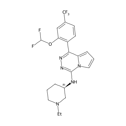 CCN1CCC[C@@H](Nc2nnc(-c3ccc(C(F)(F)F)cc3OC(F)F)c3cccn23)C1